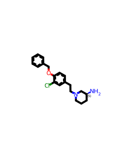 N[C@H]1CCCN(CCc2ccc(OCc3ccccc3)c(Cl)c2)C1